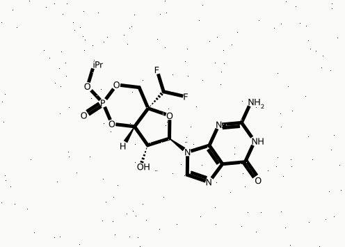 CC(C)OP1(=O)OC[C@@]2(C(F)F)O[C@@H](n3cnc4c(=O)[nH]c(N)nc43)[C@H](O)[C@@H]2O1